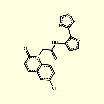 O=C(Cn1c(=O)ccc2cc(C(F)(F)F)ccc21)Nc1ccsc1-c1cscn1